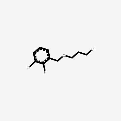 Fc1c(Cl)cccc1COCCCCl